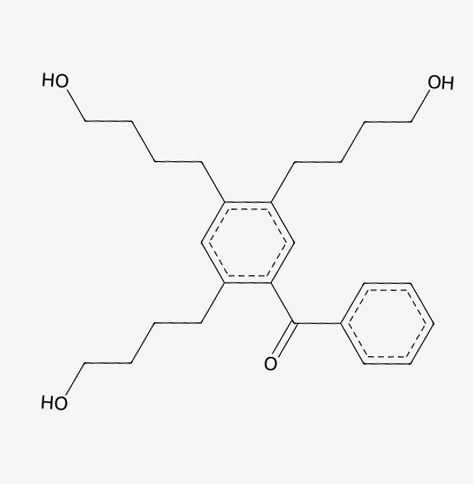 O=C(c1ccccc1)c1cc(CCCCO)c(CCCCO)cc1CCCCO